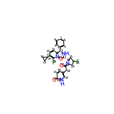 O=C(N[C@@H](c1ccccc1)c1ccc(C2CC2)c(F)n1)[C@@H]1C[C@@H](F)CN1C(=O)Cc1ccc(=O)[nH]c1